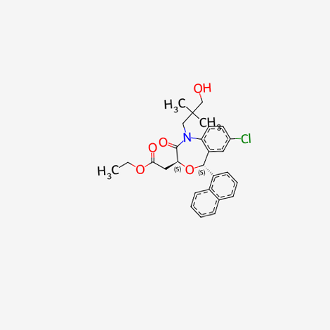 CCOC(=O)C[C@@H]1O[C@@H](c2cccc3ccccc23)c2cc(Cl)ccc2N(CC(C)(C)CO)C1=O